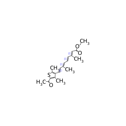 CCOC(=O)/C=C(C)/C=C/C=C(C)/C=C/c1c(C)sc(C(C)=O)c1C